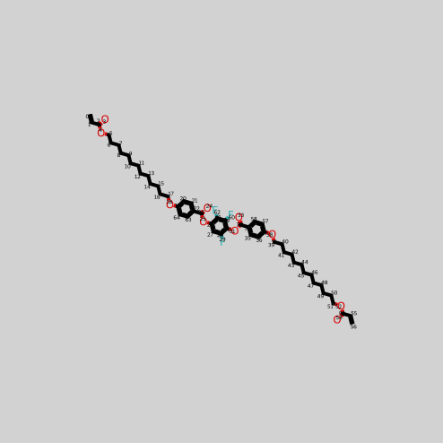 C=CC(=O)OCCCCCCCCCCCCCOc1ccc(C(=O)Oc2cc(F)c(OC(=O)c3ccc(OCCCCCCCCCCCCCOC(=O)C=C)cc3)c(F)c2F)cc1